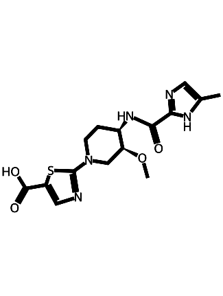 CO[C@H]1CN(c2ncc(C(=O)O)s2)CC[C@H]1NC(=O)c1ncc(C)[nH]1